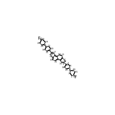 Fc1ccc(-c2ccc(-c3cc4c(ccc5c6cc(-c7ccc(-c8ccc(F)cc8)cc7)sc6ccc45)s3)cc2)cc1